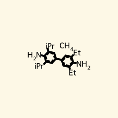 C.CCc1cc(-c2cc(C(C)C)c(N)c(C(C)C)c2)cc(CC)c1N